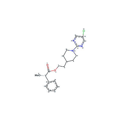 CO[C@H](C(=O)OCCC1CCN(c2ncc(Cl)cn2)CC1)c1ccccc1